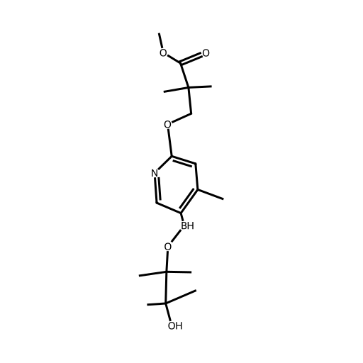 COC(=O)C(C)(C)COc1cc(C)c(BOC(C)(C)C(C)(C)O)cn1